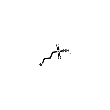 NS(=O)(=O)CCCBr